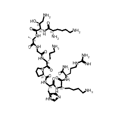 C[C@H](NC(=O)[C@@H](NC(=O)[C@@H](N)CCCCN)[C@@H](O)CN)C(=O)NCC(=O)N[C@H](CCCN)C(=O)N1CCC[C@H]1C(=O)N[C@@H](Cc1cnc[nH]1)C(=O)N[C@@H](CCCCCN)C(=O)N[C@H](CCCNC(=N)N)C(N)=O